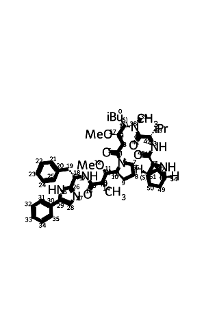 CC[C@H](C)[C@@H]([C@H](CC(=O)N1CCC[C@H]1[C@H](OC)[C@@H](C)C(=O)N[C@@H](Cc1ccccc1)c1ncc(-c2ccccc2)[nH]1)OC)N(C)C(=O)[C@@H](NC(=O)[C@H]1N[C@@H]2CC[C@H]1C2)C(C)C